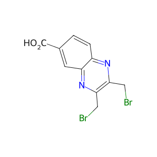 O=C(O)c1ccc2nc(CBr)c(CBr)nc2c1